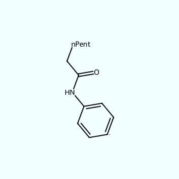 CCCCCCC(=O)Nc1cc[c]cc1